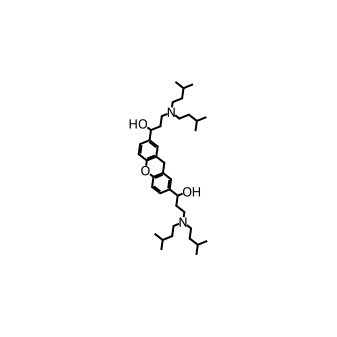 CC(C)CCN(CCC(C)C)CCC(O)c1ccc2c(c1)Cc1cc(C(O)CCN(CCC(C)C)CCC(C)C)ccc1O2